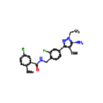 COc1ccc(F)cc1C(=O)NCc1ccc(-c2nn(CC(F)(F)F)c(N)c2C=O)cc1F